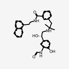 CC(C)(Cc1cccc(C(=O)NCCc2cccc3ccccc23)c1)NC[C@@H](O)c1ccc(O)c(NC=O)c1